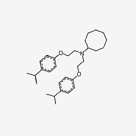 CC(C)c1ccc(OCCN(CCOc2ccc(C(C)C)cc2)C2CCCCCCC2)cc1